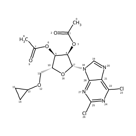 CC(=O)O[C@@H]1[C@H](OC(C)=O)[C@@H](COC2CC2)O[C@H]1n1cnc2c(Cl)nc(Cl)nc21